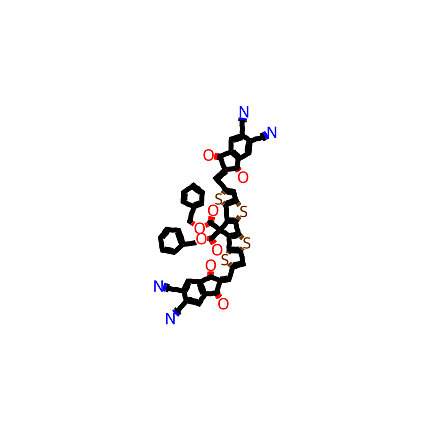 N#Cc1cc2c(cc1C#N)C(=O)C(=Cc1cc3sc4c(c3s1)C(C(=O)OCc1ccccc1)(C(=O)OCc1ccccc1)c1c-4sc3cc(C=C4C(=O)c5cc(C#N)c(C#N)cc5C4=O)sc13)C2=O